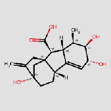 C=C1C[C@]23C[C@@]1(O)CC[C@H]2C1=C[C@@H](O)[C@H](O)[C@H](C)[C@H]1[C@@H]3C(=O)O